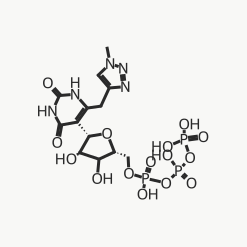 Cn1cc(Cc2[nH]c(=O)[nH]c(=O)c2[C@@H]2O[C@H](COP(=O)(O)OP(=O)(O)OP(=O)(O)O)C(O)[C@@H]2O)nn1